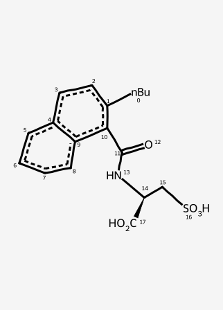 CCCCc1ccc2ccccc2c1C(=O)N[C@@H](CS(=O)(=O)O)C(=O)O